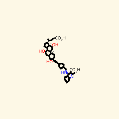 Cc1nc2ccccc2c(NCc2ccc(C#C[C@@]3(O)CC[C@@]4(C)C(C[C@@H](O)C5C4C[C@H](O)[C@@]4(C)C5CC[C@@H]4C(C)CCC(=O)O)C3)cc2)c1C(=O)O